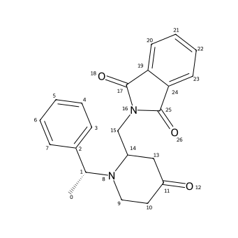 C[C@H](c1ccccc1)N1CCC(=O)CC1CN1C(=O)c2ccccc2C1=O